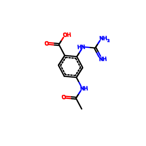 CC(=O)Nc1ccc(C(=O)O)c(NC(=N)N)c1